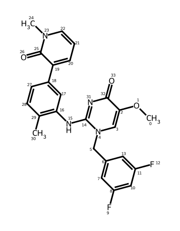 COc1cn(Cc2cc(F)cc(F)c2)c(Nc2cc(-c3cccn(C)c3=O)ccc2C)nc1=O